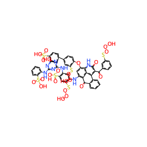 O=C(c1cccc(SOOO)c1)c1c2c3c(c(Nc4cc(Nc5nc(O)nc(Nc6ccccc6S(=O)(=O)O)n5)c(S(=O)(=O)O)cc4SOOO)cc(Oc4ccc(-c5ccc(S(=O)(=O)O)cc5)cc4SOOO)c3[nH]c1=O)C(=O)c1ccccc1-2